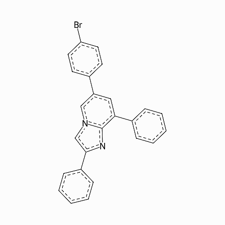 Brc1ccc(-c2cc(-c3ccccc3)c3nc(-c4ccccc4)cn3c2)cc1